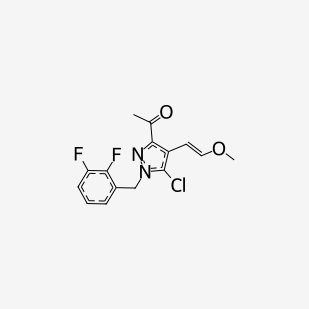 COC=Cc1c(C(C)=O)nn(Cc2cccc(F)c2F)c1Cl